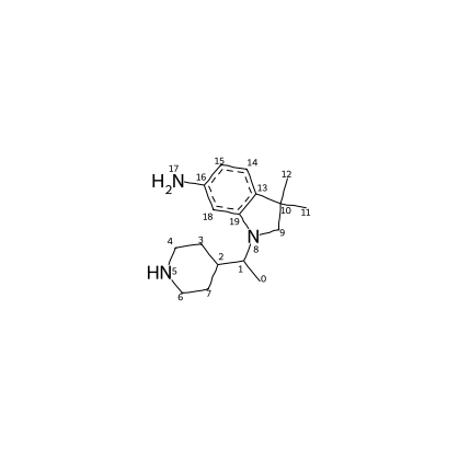 CC(C1CCNCC1)N1CC(C)(C)c2ccc(N)cc21